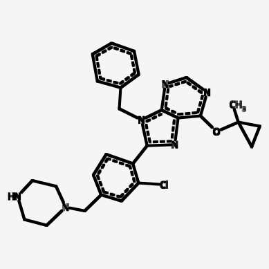 CC1(Oc2ncnc3c2nc(-c2ccc(CN4CCNCC4)cc2Cl)n3Cc2ccccc2)CC1